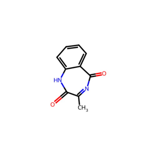 Cc1nc(=O)c2ccccc2[nH]c1=O